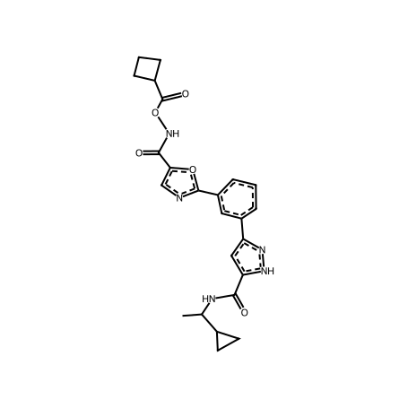 CC(NC(=O)c1cc(-c2cccc(-c3ncc(C(=O)NOC(=O)C4CCC4)o3)c2)n[nH]1)C1CC1